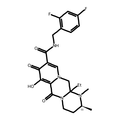 CCC12Cn3cc(C(=O)NCc4ccc(F)cc4F)c(=O)c(O)c3C(=O)N1CC[C@H](C)N2C